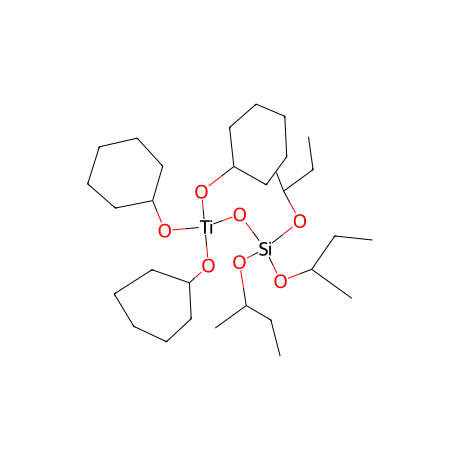 CCC(C)O[Si](OC(C)CC)(OC(C)CC)[O][Ti]([O]C1CCCCC1)([O]C1CCCCC1)[O]C1CCCCC1